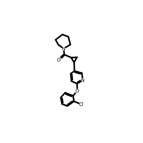 O=C(C1CC1c1ccc(Oc2ccccc2Cl)nc1)N1CCCCC1